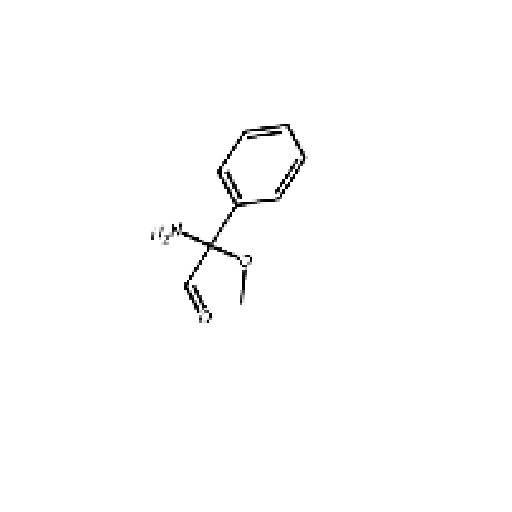 COC(N)(C=O)c1ccccc1